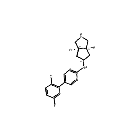 Fc1ccc(Cl)c(-c2cnc(N[C@H]3C[C@H]4CNC[C@H]4C3)nc2)c1